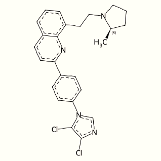 C[C@@H]1CCCN1CCc1cccc2ccc(-c3ccc(-n4cnc(Cl)c4Cl)cc3)nc12